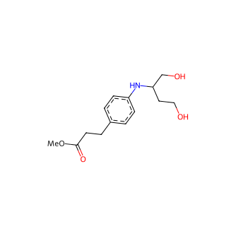 COC(=O)CCc1ccc(NC(CO)CCO)cc1